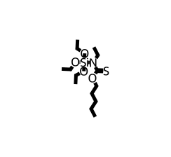 CCCCCOC(=S)N(CC)[Si](OCC)(OCC)OCC